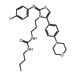 CCCCNC(=O)NCCCn1c(-c2ccc(N3CCOCC3)cc2)cs/c1=N/c1ccc(F)cc1